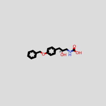 O=C(O)NC[C@H](O)Cc1ccc(OCc2ccccc2)cc1